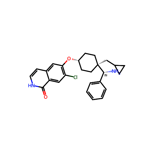 N[C@H](c1ccccc1)[C@]1(CC2CC2)CC[C@@H](Oc2cc3cc[nH]c(=O)c3cc2Cl)CC1